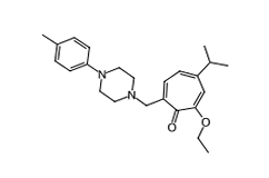 CCOc1cc(C(C)C)ccc(CN2CCN(c3ccc(C)cc3)CC2)c1=O